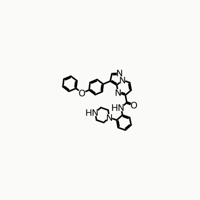 O=C(Nc1ccccc1N1CCNCC1)c1ccn2ncc(-c3ccc(Oc4ccccc4)cc3)c2n1